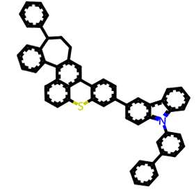 c1ccc(-c2cccc(-n3c4ccccc4c4cc(-c5ccc6c(c5)Sc5cccc7c8c(cc-6c57)CCC(c5ccccc5)c5ccccc5-8)ccc43)c2)cc1